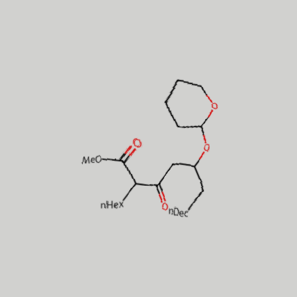 CCCCCCCCCCCC(CC(=O)C(CCCCCC)C(=O)OC)OC1CCCCO1